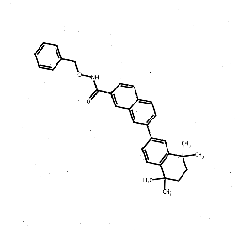 CC1(C)CCC(C)(C)c2cc(-c3ccc4ccc(C(=O)NOCc5ccccc5)cc4c3)ccc21